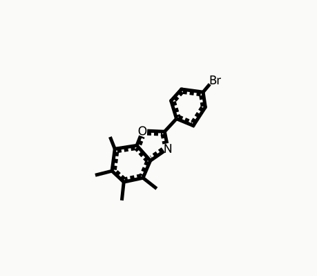 Cc1c(C)c(C)c2oc(-c3ccc(Br)cc3)nc2c1C